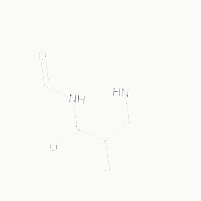 CN/C=C(/C)C(=O)NC=O